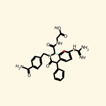 N=C(N)NCCC[C@@H](C(=O)NCC(=O)O)N(Cc1ccc(C(N)=O)cc1)C(=O)C(c1ccccc1)c1ccccc1